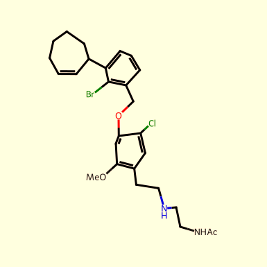 COc1cc(OCc2cccc(C3C=CCCCC3)c2Br)c(Cl)cc1CCNCCNC(C)=O